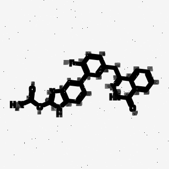 NC(=O)Oc1nc2cc(-c3cc(Cc4n[nH]c(=O)c5ccccc45)ccc3F)ccc2[nH]1